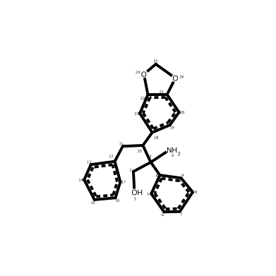 NC(CO)(c1ccccc1)C(Cc1ccccc1)c1ccc2c(c1)OCO2